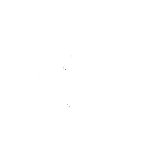 C=CCC1(CC=C)c2ccccc2C(=O)N1CCN(C)C